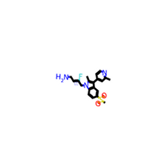 Cc1cc(-c2c(C)n(C/C(F)=C/CN)c3ccc(S(C)(=O)=O)cc23)ccn1